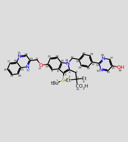 CCC(CC)(Cc1c(SC(C)(C)C)c2cc(OCc3cnc4ccccc4n3)ccc2n1Cc1ccc(-c2ncc(O)cn2)cc1)C(=O)O